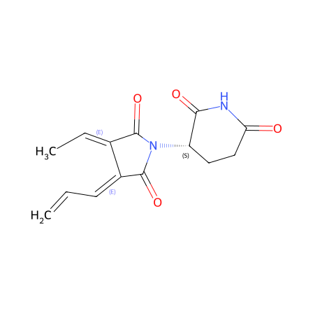 C=C/C=C1/C(=O)N([C@H]2CCC(=O)NC2=O)C(=O)/C1=C/C